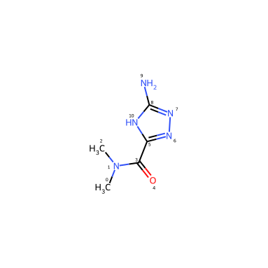 CN(C)C(=O)c1nnc(N)[nH]1